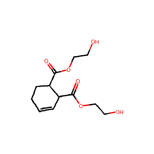 O=C(OCCO)C1C=CCCC1C(=O)OCCO